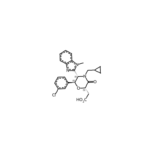 Cn1c([C@H]2[C@H](c3cccc(Cl)c3)O[C@@H](CC(=O)O)C(=O)N2CC2CC2)nc2ccccc21